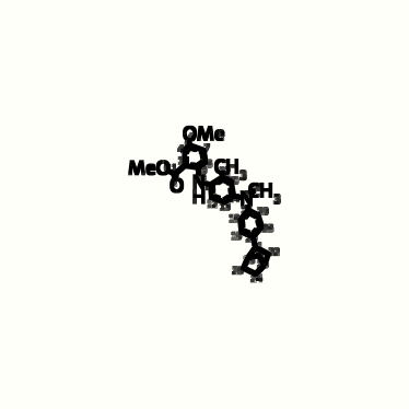 COC(=O)c1cc(OC)ccc1Nc1ccc(N(C)c2ccc(C3CC4CCC3C4)cc2)cc1C